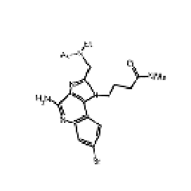 CCN(Cc1nc2c(N)nc3cc(Br)ccc3c2n1CCCC(=O)NC)C(C)=O